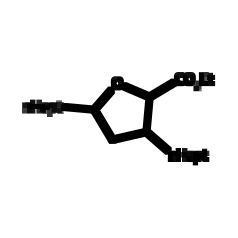 CCCCCCCC1CC(CCCCCCC)C(C(=O)OCC)O1